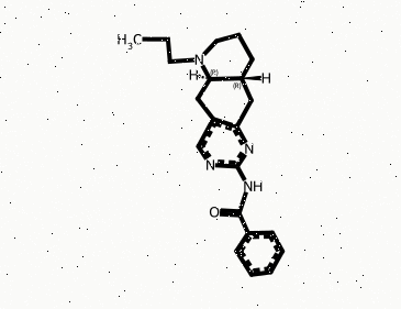 CCCN1CCC[C@@H]2Cc3nc(NC(=O)c4ccccc4)ncc3C[C@H]21